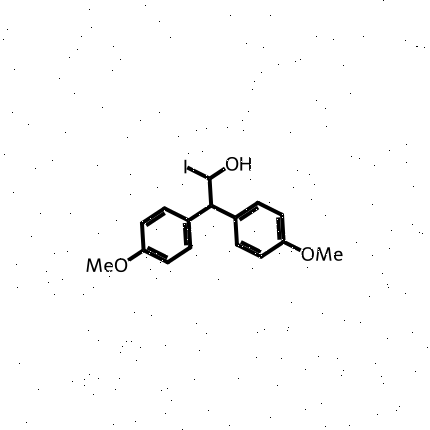 COc1ccc(C(c2ccc(OC)cc2)C(O)I)cc1